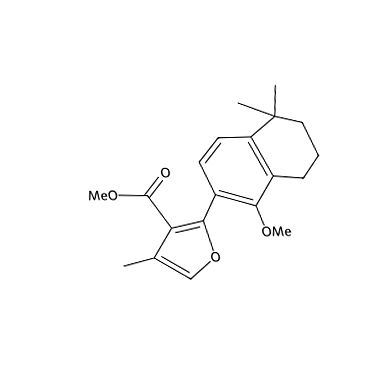 COC(=O)c1c(C)coc1-c1ccc2c(c1OC)CCCC2(C)C